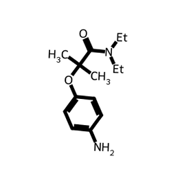 CCN(CC)C(=O)C(C)(C)Oc1ccc(N)cc1